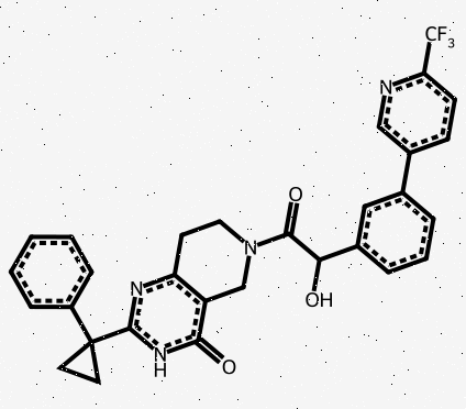 O=C(C(O)c1cccc(-c2ccc(C(F)(F)F)nc2)c1)N1CCc2nc(C3(c4ccccc4)CC3)[nH]c(=O)c2C1